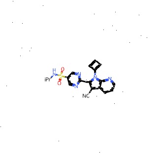 CC(C)NS(=O)(=O)c1cnc(-c2c(C#N)c3cccnc3n2C2=CC=C2)nc1